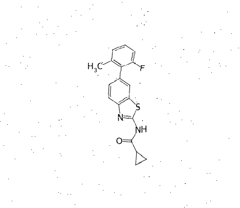 Cc1cccc(F)c1-c1ccc2nc(NC(=O)C3CC3)sc2c1